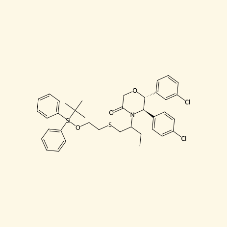 CCC(CSCCO[Si](c1ccccc1)(c1ccccc1)C(C)(C)C)N1C(=O)CO[C@H](c2cccc(Cl)c2)[C@H]1c1ccc(Cl)cc1